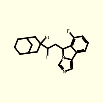 CCC1(C(F)CC2c3c(F)cccc3-c3cncn32)CC2CCCC(C2)C1